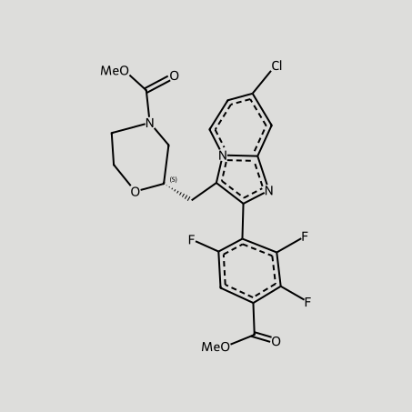 COC(=O)c1cc(F)c(-c2nc3cc(Cl)ccn3c2C[C@H]2CN(C(=O)OC)CCO2)c(F)c1F